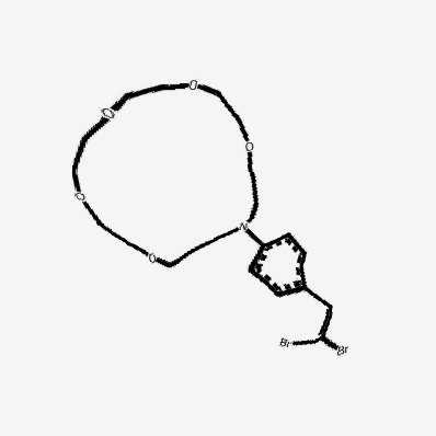 BrC(Br)=Cc1ccc(N2CCOCCOCCOCCOCCOCC2)cc1